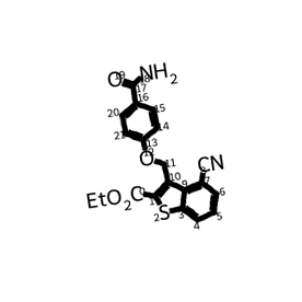 CCOC(=O)c1sc2cccc(C#N)c2c1COc1ccc(C(N)=O)cc1